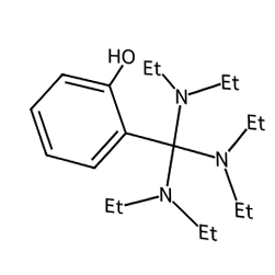 CCN(CC)C(c1ccccc1O)(N(CC)CC)N(CC)CC